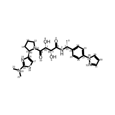 C[C@@H](NC(=O)[C@H](O)[C@@H](O)C(=O)N1CCC[C@@H]1c1csc(N(C)C)n1)c1ccc(-n2cccn2)cc1